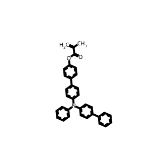 C=C(C)C(=O)Oc1ccc(-c2ccc(N(c3ccccc3)c3ccc(-c4ccccc4)cc3)cc2)cc1